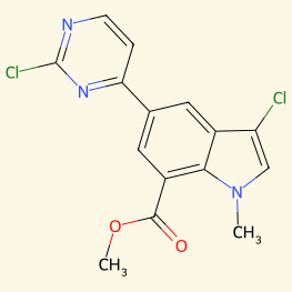 COC(=O)c1cc(-c2ccnc(Cl)n2)cc2c(Cl)cn(C)c12